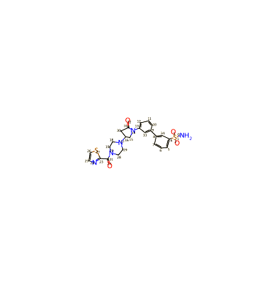 NS(=O)(=O)c1cccc(-c2cccc(N3CC(N4CCN(C(=O)c5nccs5)CC4)CC3=O)c2)c1